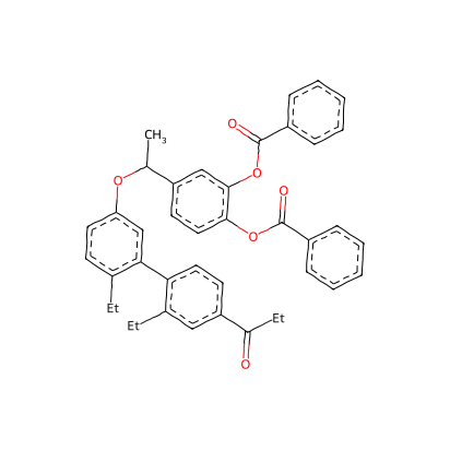 CCC(=O)c1ccc(-c2cc(OC(C)c3ccc(OC(=O)c4ccccc4)c(OC(=O)c4ccccc4)c3)ccc2CC)c(CC)c1